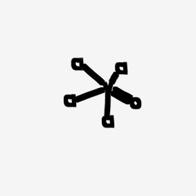 [O]=[V]([Cl])([Cl])([Cl])[Cl]